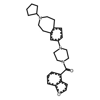 O=C(c1cccc2occc12)N1CCN(c2ccc3c(c2)CCN(C2CCCC2)CC3)CC1